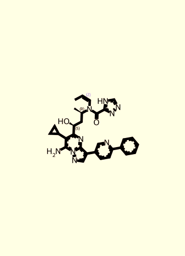 C/C=C\N(C(=O)c1nnc[nH]1)[C@H](C)C[C@H](O)c1nc2c(-c3ccc(-c4ccccc4)nc3)cnn2c(N)c1C1CC1